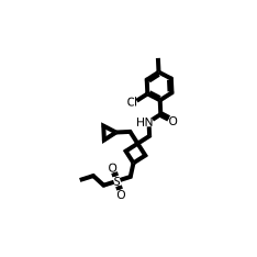 CCCS(=O)(=O)CC1CC(CNC(=O)c2ccc(C)cc2Cl)(CC2CC2)C1